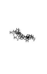 CCNC(=O)N(CC)c1ccc(OCC(O)CNC(C)(C)C)c(C(C)=O)c1